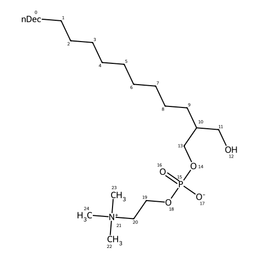 CCCCCCCCCCCCCCCCCCCC(CO)COP(=O)([O-])OCC[N+](C)(C)C